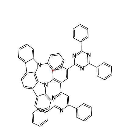 c1ccc(-c2cc(-c3cc(-c4nc(-c5ccccc5)nc(-c5ccccc5)n4)ccc3-n3c4ccccc4c4ccc5c6ccccc6n(-c6ccccc6)c5c43)nc(-c3ccccc3)n2)cc1